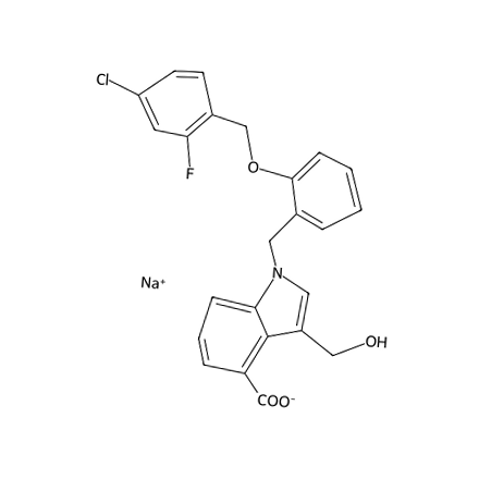 O=C([O-])c1cccc2c1c(CO)cn2Cc1ccccc1OCc1ccc(Cl)cc1F.[Na+]